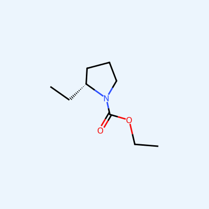 CCOC(=O)N1CCC[C@H]1CC